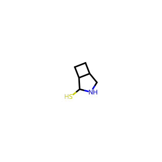 SC1NCC2CCC21